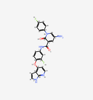 Nc1cc(C(=O)Nc2ccc(Oc3ccnc4[nH]ccc34)c(F)c2)c(=O)n(-c2ccc(F)cc2)c1